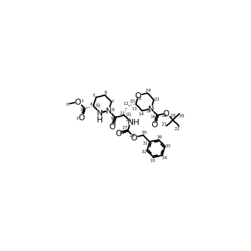 COC(=O)[C@@H]1CCCN(C(=O)[C@H](C[C@H]2CN(C(=O)OC(C)(C)C)CCO2)NC(=O)OCc2ccccc2)N1